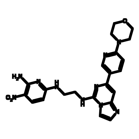 Nc1nc(NCCNc2nc(-c3ccc(N4CCOCC4)nc3)cc3nccn23)ccc1[N+](=O)[O-]